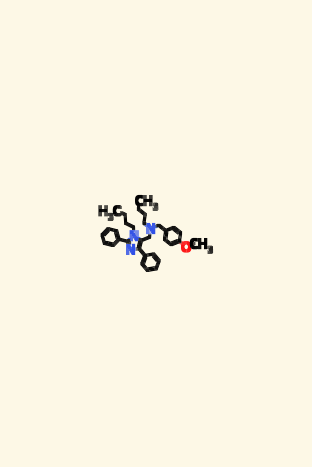 CCCCN(Cc1ccc(OC)cc1)Cc1c(-c2ccccc2)nc(-c2ccccc2)n1CCCC